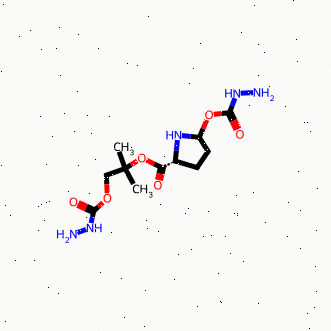 CC(C)(COC(=O)NN)OC(=O)[C@H]1CCC(OC(=O)NN)N1